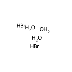 Br.Br.O.O.O